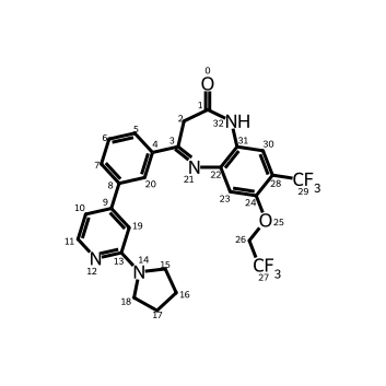 O=C1CC(c2cccc(-c3ccnc(N4CCCC4)c3)c2)=Nc2cc(OCC(F)(F)F)c(C(F)(F)F)cc2N1